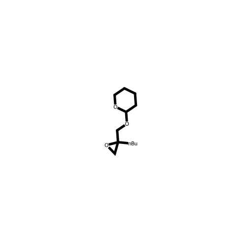 CCCCC1(COC2CCCCO2)CO1